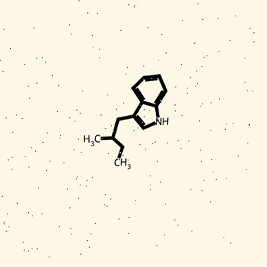 CCC(C)Cc1c[nH]c2ccccc12